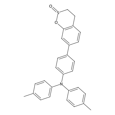 Cc1ccc(N(c2ccc(C)cc2)c2ccc(-c3ccc4c(c3)OS(=O)CC4)cc2)cc1